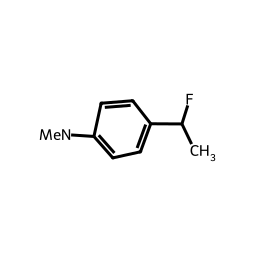 CNc1ccc(C(C)F)cc1